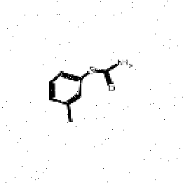 Cc1cccc(SC(N)=O)c1